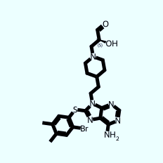 Cc1cc(Br)c(Sc2nc3c(N)ncnc3n2CCC2CCN(C[C@H](O)C=O)CC2)cc1C